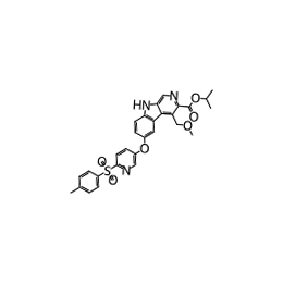 COCc1c(C(=O)OC(C)C)ncc2[nH]c3ccc(Oc4ccc(S(=O)(=O)c5ccc(C)cc5)nc4)cc3c12